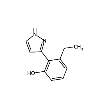 CCc1cccc(O)c1-c1cc[nH]n1